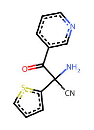 N#CC(N)(C(=O)c1cccnc1)c1cccs1